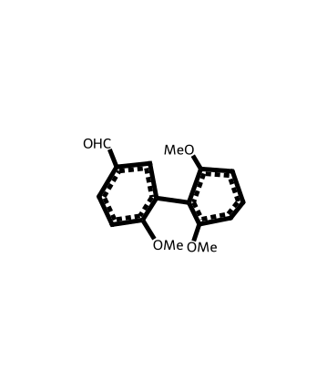 COc1ccc(C=O)cc1-c1c(OC)cccc1OC